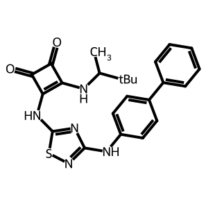 CC(Nc1c(Nc2nc(Nc3ccc(-c4ccccc4)cc3)ns2)c(=O)c1=O)C(C)(C)C